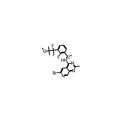 COC(C)(C)C(F)(F)c1cccc([C@@H](C)Nc2nc(C)nc3cnc(Br)cc23)c1F